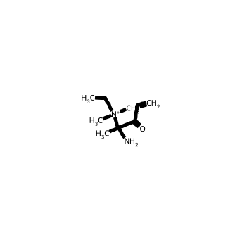 C=CC(=O)C(C)(N)[N+](C)(C)CC